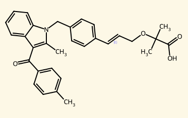 Cc1ccc(C(=O)c2c(C)n(Cc3ccc(/C=C/COC(C)(C)C(=O)O)cc3)c3ccccc23)cc1